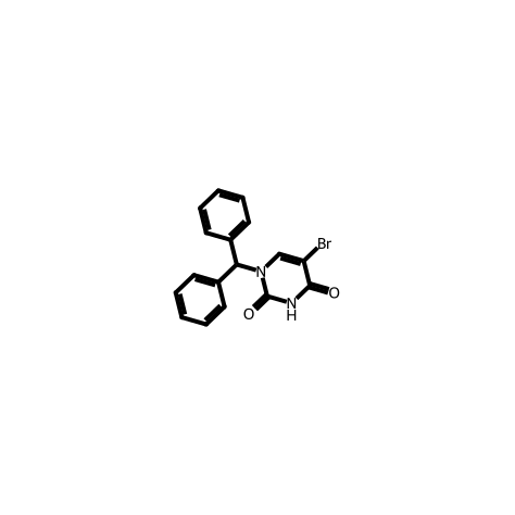 O=c1[nH]c(=O)n(C(c2ccccc2)c2ccccc2)cc1Br